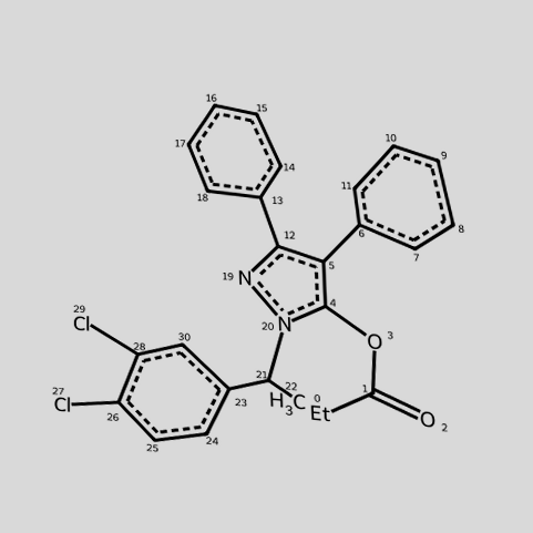 CCC(=O)Oc1c(-c2ccccc2)c(-c2ccccc2)nn1C(C)c1ccc(Cl)c(Cl)c1